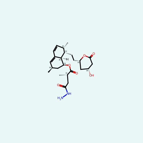 C[C@H]1C=C2C=C[C@H](C)[C@H](CC[C@H]3C[C@@H](O)CC(=O)O3)[C@H]2[C@@H](OC(=O)[C@@H](C)CC(=O)NN)C1